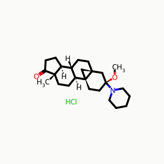 CO[C@@]1(N2CCCCC2)CC[C@@]23C[C@@]2(CC[C@@H]2[C@@H]3CC[C@]3(C)C(=O)CC[C@@H]23)C1.Cl